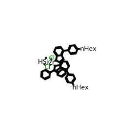 CCCCCCc1ccc(-c2cccc3c2C=C(c2ccccc2)[CH]3[Zr]([Cl])([Cl])([CH]2C(c3ccccc3)=Cc3c(-c4ccc(CCCCCC)cc4)cccc32)[SiH](C)C)cc1